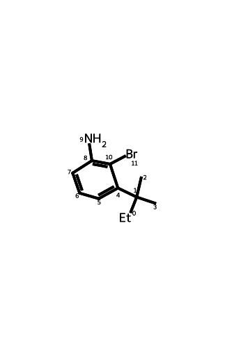 CCC(C)(C)c1cccc(N)c1Br